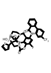 CCC(C)OC(=O)C(COC(=O)Oc1c(F)cc(NC(=O)c2ccccc2-c2ccc(C(F)(F)F)cc2)c(C(=O)N2CCOCC2)c1F)(C(=O)O)c1cccs1